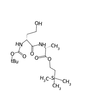 C[C@@H](NC(=O)[C@@H](CCO)NC(=O)OC(C)(C)C)C(=O)OCC[Si](C)(C)C